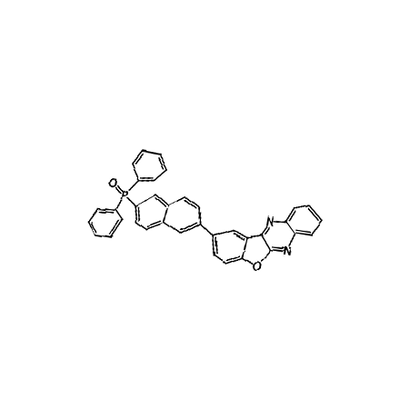 O=P(c1ccccc1)(c1ccccc1)c1ccc2cc(-c3ccc4oc5nc6ccccc6nc5c4c3)ccc2c1